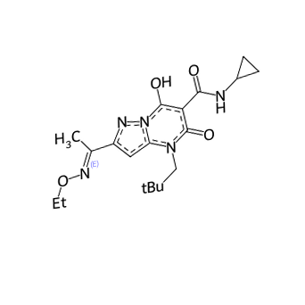 CCO/N=C(\C)c1cc2n(CC(C)(C)C)c(=O)c(C(=O)NC3CC3)c(O)n2n1